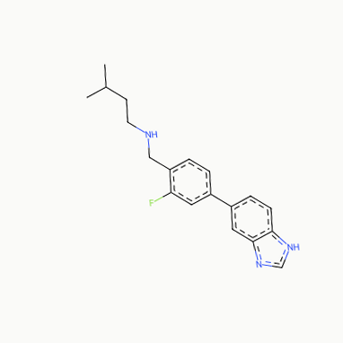 CC(C)CCNCc1ccc(-c2ccc3[nH]cnc3c2)cc1F